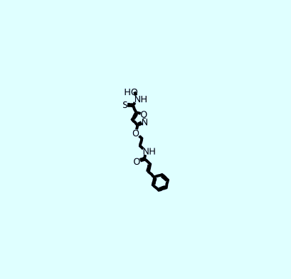 O=C(/C=C/c1ccccc1)NCCOc1cc(C(=S)NO)on1